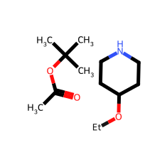 CC(=O)OC(C)(C)C.CCOC1CCNCC1